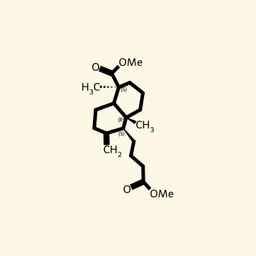 C=C1CCC2[C@](C)(CCC[C@]2(C)C(=O)OC)[C@H]1CCCC(=O)OC